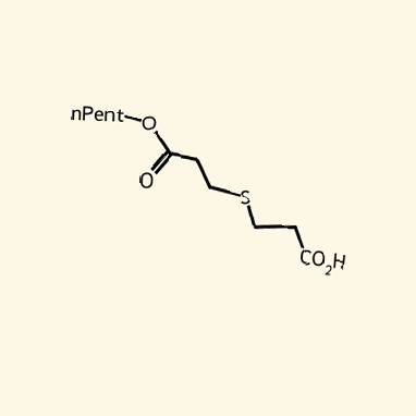 CCCCCOC(=O)CCSCCC(=O)O